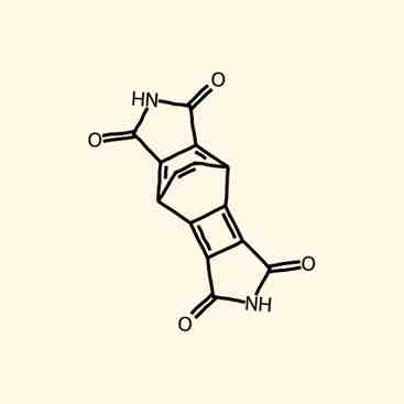 O=c1[nH]c(=O)c2c3ccc(c12)c1c2c(=O)[nH]c(=O)c2c31